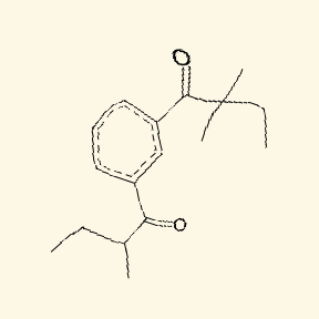 CCC(C)C(=O)c1cccc(C(=O)C(C)(C)CC)c1